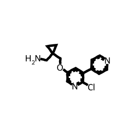 NCC1(COc2cnc(Cl)c(-c3ccncc3)c2)CC1